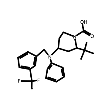 CC(C)(C)C1CC(N(Cc2cccc(C(F)(F)F)c2)c2ccccc2)CCN1C(=O)O